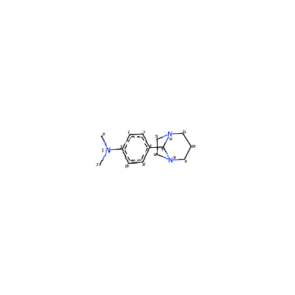 CN(C)c1ccc(C2N3CCCN2CC3)cc1